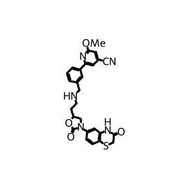 COc1cc(C#N)cc(-c2cccc(CNCCC3CN(c4ccc5c(c4)NC(=O)CS5)C(=O)O3)c2)n1